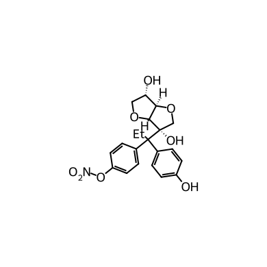 CCC(c1ccc(O)cc1)(c1ccc(O[N+](=O)[O-])cc1)[C@]1(O)CO[C@@H]2[C@@H](O)CO[C@@H]21